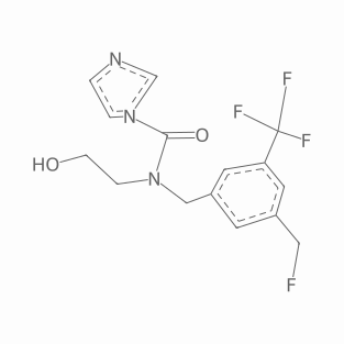 O=C(N(CCO)Cc1cc(CF)cc(C(F)(F)F)c1)n1ccnc1